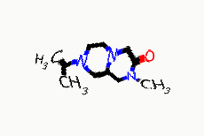 CC(C)N1CCN2CC(=O)N(C)CC2C1